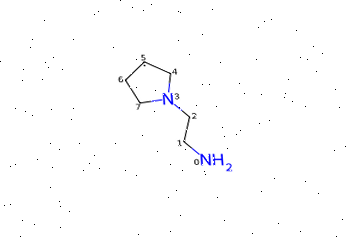 NCCN1C[CH]CC1